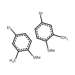 CCc1ccc(SC)c(C)c1.CSc1ccc(C(C)=O)cc1C